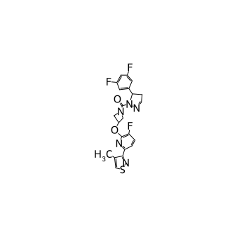 Cc1csnc1-c1ccc(F)c(OC2CN(C(=O)N3N=CCC3c3cc(F)cc(F)c3)C2)n1